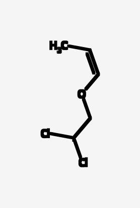 C/C=C\OC[C](Cl)Cl